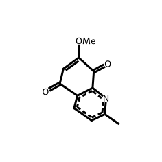 COC1=CC(=O)c2ccc(C)nc2C1=O